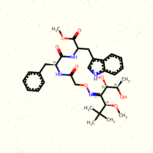 COC(=O)C(Cc1c[nH]c2ccccc12)NC(=O)[C@H](Cc1ccccc1)NC(=O)CO/N=C(\[C@@H](O)[C@@H](C)O)[C@@H](OC)C(C)(C)C